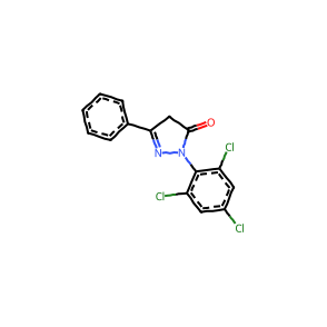 O=C1CC(c2ccccc2)=NN1c1c(Cl)cc(Cl)cc1Cl